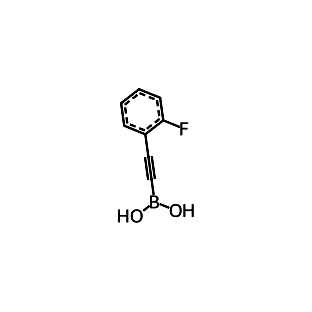 OB(O)C#Cc1ccccc1F